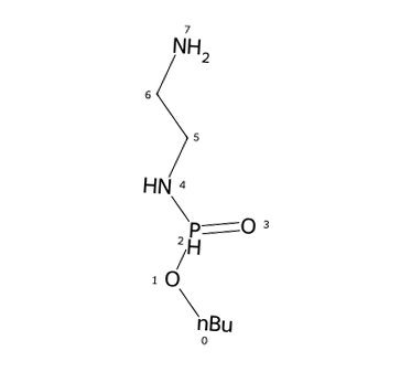 CCCCO[PH](=O)NCCN